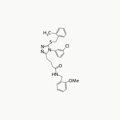 COc1ccccc1CNC(=O)CCCc1nnc(SCc2ccccc2C)n1-c1cccc(Cl)c1